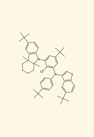 CC(C)(C)c1ccc(N(c2cc(C(C)(C)C)cc(N3c4ccc(C(C)(C)C)cc4C4(C)CCCCC34C)c2Cl)c2csc3ccc(C(C)(C)C)cc23)cc1